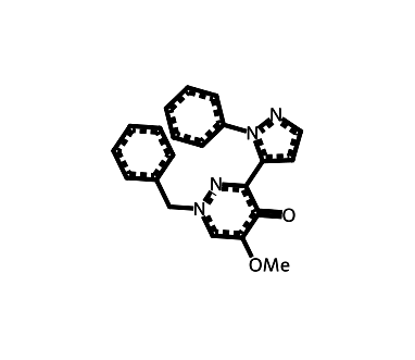 COc1cn(Cc2ccccc2)nc(-c2ccnn2-c2ccccc2)c1=O